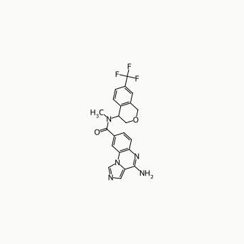 CN(C(=O)c1ccc2nc(N)c3cncn3c2c1)C1COCc2cc(C(F)(F)F)ccc21